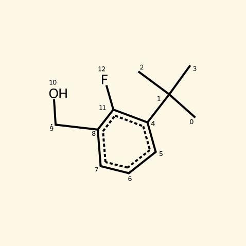 CC(C)(C)c1cccc([CH]O)c1F